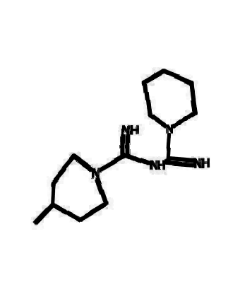 CC1CCN(C(=N)NC(=N)N2CCCCC2)CC1